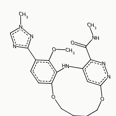 CNC(=O)c1nnc2cc1Nc1c(ccc(-c3ncn(C)n3)c1OC)OCCCCO2